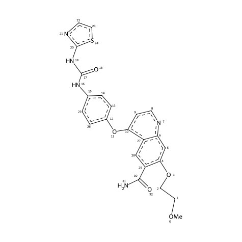 COCCOc1cc2nccc(Oc3ccc(NC(=O)Nc4nccs4)cc3)c2cc1C(N)=O